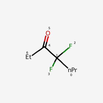 CCCC(F)(F)C(=O)CC